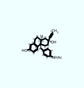 CC#C[C@@]1(O)CC[C@]2(Cc3ccc(NC(C)=O)cc3)c3ccc(O)cc3CC[C@H]2C1